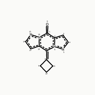 O=c1c2ccnn2c(=C2CCC2)c2ccnn12